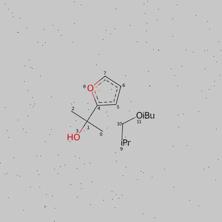 CC(C)(O)c1ccco1.CC(C)COCC(C)C